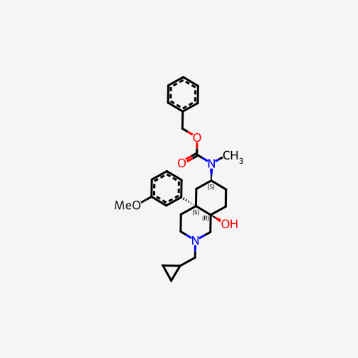 COc1cccc([C@@]23CCN(CC4CC4)C[C@@]2(O)CC[C@H](N(C)C(=O)OCc2ccccc2)C3)c1